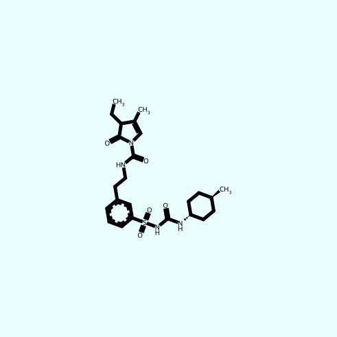 CCC1C(=O)N(C(=O)NCCc2cccc(S(=O)(=O)NC(=O)N[C@H]3CC[C@H](C)CC3)c2)C=C1C